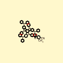 C[C@@H]1C=C(S(=O)(=O)c2ccc(N3c4c(c5c(c6cc(P(c7ccccc7)c7ccccc7)ccc6n5-c5ccccc5)c5c4c4cc(P(c6ccccc6)c6ccccc6)ccc4n5-c4ccccc4)C4C=C(P(c5ccccc5)c5ccccc5)C=CC43)cc2)C=CC1C#N